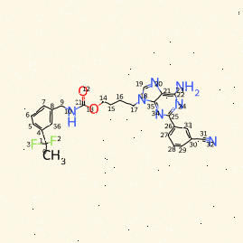 CC(F)(F)c1cccc(CNC(=O)OCCCCn2cnc3c(N)nc(-c4cccc(C#N)c4)nc32)c1